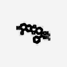 C[C@]1(C(N)c2ccccc2)CC[C@@H](Oc2cc3cc[nH]c(=O)c3cc2Cl)CC1